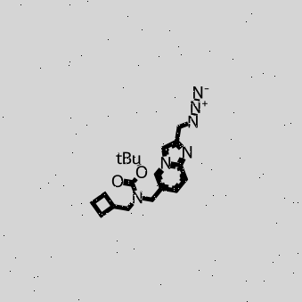 CC(C)(C)OC(=O)N(Cc1ccc2nc(CN=[N+]=[N-])cn2c1)CC1CCC1